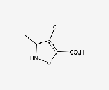 CC1NOC(C(=O)O)=C1Cl